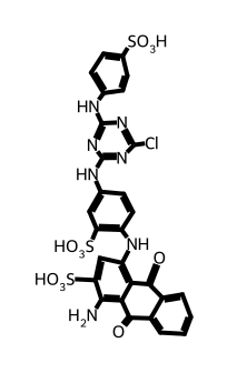 Nc1c(S(=O)(=O)O)cc(Nc2ccc(Nc3nc(Cl)nc(Nc4ccc(S(=O)(=O)O)cc4)n3)cc2S(=O)(=O)O)c2c1C(=O)c1ccccc1C2=O